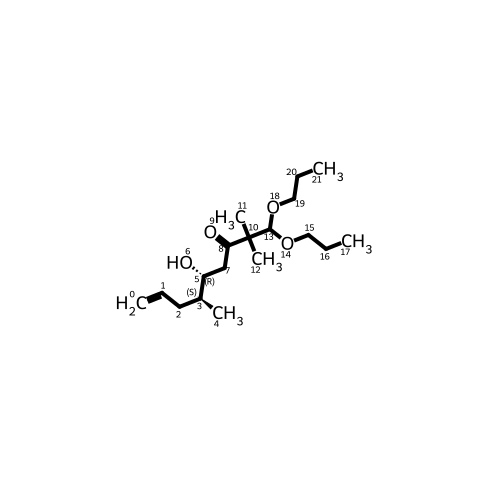 C=CC[C@H](C)[C@H](O)CC(=O)C(C)(C)C(OCCC)OCCC